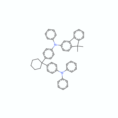 CC1(C)c2ccccc2-c2cc(N(c3ccccc3)c3ccc(C4(c5ccc(N(c6ccccc6)c6ccccc6)cc5)CCCCC4)cc3)ccc21